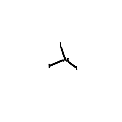 I[As](I)I